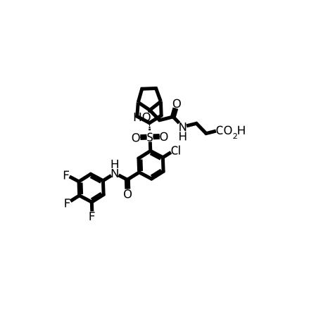 O=C(O)CCNC(=O)C[C@]1(O)C2CCC1C[C@@H](S(=O)(=O)c1cc(C(=O)Nc3cc(F)c(F)c(F)c3)ccc1Cl)C2